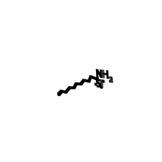 C=CCCCCCCCCC(N)[Si](C)(C)C